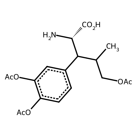 CC(=O)OCC(C)C(c1ccc(OC(C)=O)c(OC(C)=O)c1)[C@H](N)C(=O)O